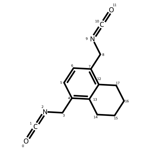 O=C=NCc1ccc(CN=C=O)c2c1CCCC2